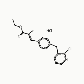 CCOC(=O)/C(C)=C/c1ccc(Cc2cccnc2Cl)cc1.Cl